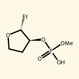 CC[C@H]1OCC[C@@H]1OP(=O)(O)OC